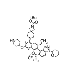 C=Cc1cc2c(N3CCC4(CC3)CN(C(=O)OC(C)(C)C)C4)nc(OC3CCNCC3)nc2c(OCC(F)(F)F)c1-c1c(C)ccc2c1cnn2C1CCCCO1